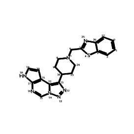 c1ccc2sc(CN3CCC(c4nnn5cnc6[nH]ccc6c45)CC3)nc2c1